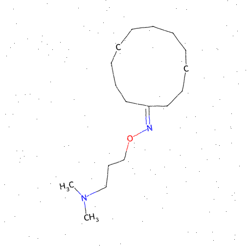 CN(C)CCCON=C1CCCCCCCCCCC1